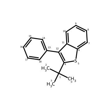 CC(C)(C)c1sc2ccccc2c1-c1ccccc1